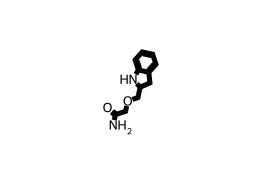 NC(=O)COCC1Cc2ccccc2N1